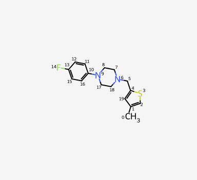 Cc1csc(CN2CCN(c3ccc(F)cc3)CC2)c1